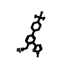 Cn1ccc(-c2cc(C3CCC(C(F)(F)F)CC3)ccc2CN)n1